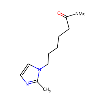 CNC(=O)CCCCCn1c[c]nc1C